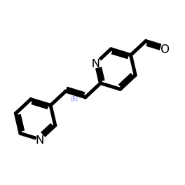 O=Cc1ccc(/C=C/c2cccnc2)nc1